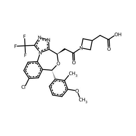 COc1cccc([C@H]2O[C@H](CC(=O)N3CC(CC(=O)O)C3)c3nnc(C(F)(F)F)n3-c3ccc(Cl)cc32)c1C